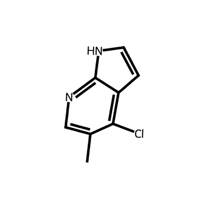 Cc1cnc2[nH]ccc2c1Cl